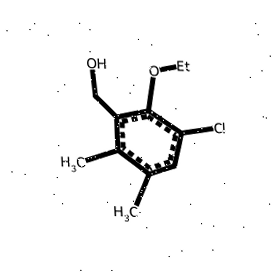 CCOc1c(Cl)cc(C)c(C)c1CO